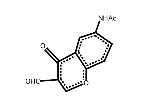 CC(=O)Nc1ccc2occ(C=O)c(=O)c2c1